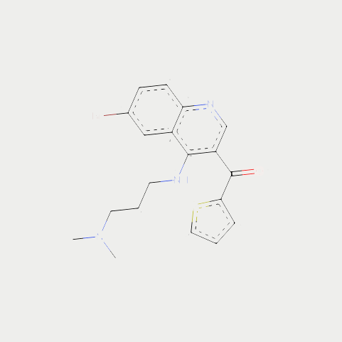 CN(C)CCCNc1c(C(=O)c2cccs2)cnc2ccc(Br)cc12